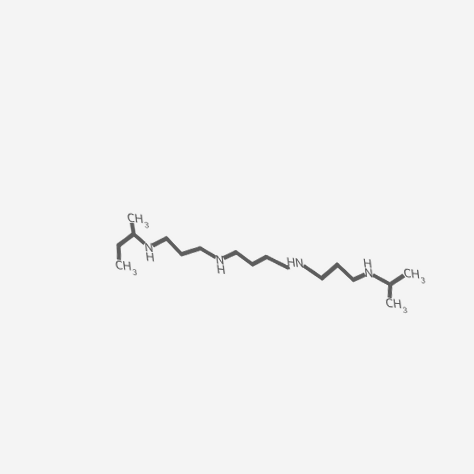 CCC(C)NCCCNCCCCNCCCNC(C)C